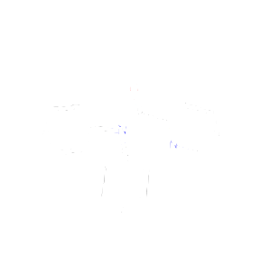 Cc1cccnc1C(=O)n1c2ccccc2c2ccccc21